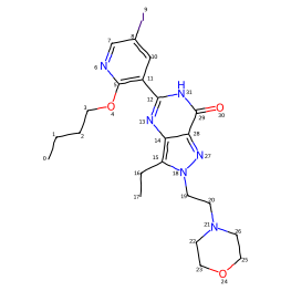 CCCCOc1ncc(I)cc1-c1nc2c(CC)n(CCN3CCOCC3)nc2c(=O)[nH]1